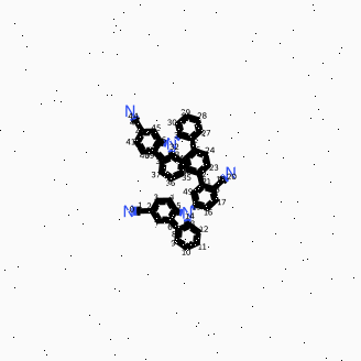 N#Cc1ccc2c(c1)c1ccccc1n2-c1ccc(C#N)c(-c2ccc(-c3ccccc3-n3c4ccccc4c4ccc(C#N)cc43)cc2)c1